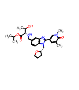 Cc1cc(-c2nc3cc(CN[C@H](C(=O)OC(C)C)[C@@H](C)O)ccc3n2C[C@@H]2CCCO2)cn(C)c1=O